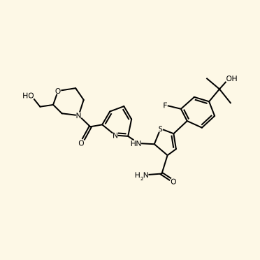 CC(C)(O)c1ccc(C2=CC(C(N)=O)C(Nc3cccc(C(=O)N4CCOC(CO)C4)n3)S2)c(F)c1